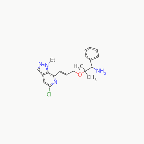 CCn1ncc2cc(Cl)nc(/C=C/COC(C)(C)C(N)c3ccccc3)c21